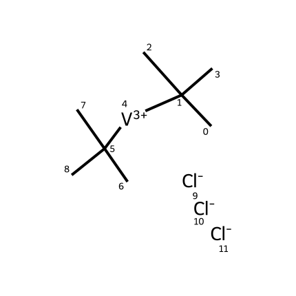 C[C](C)(C)[V+3][C](C)(C)C.[Cl-].[Cl-].[Cl-]